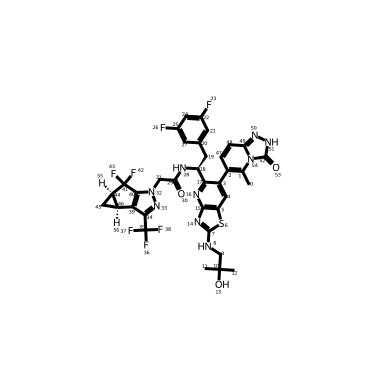 Cc1c(-c2cc3sc(NCC(C)(C)O)nc3nc2[C@H](Cc2cc(F)cc(F)c2)NC(=O)Cn2nc(C(F)(F)F)c3c2C(F)(F)[C@@H]2C[C@H]32)ccc2n[nH]c(=O)n12